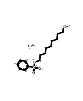 CCCCCCCCCCCCCCCCCCCOS(=O)(=O)c1ccccc1.[NaH]